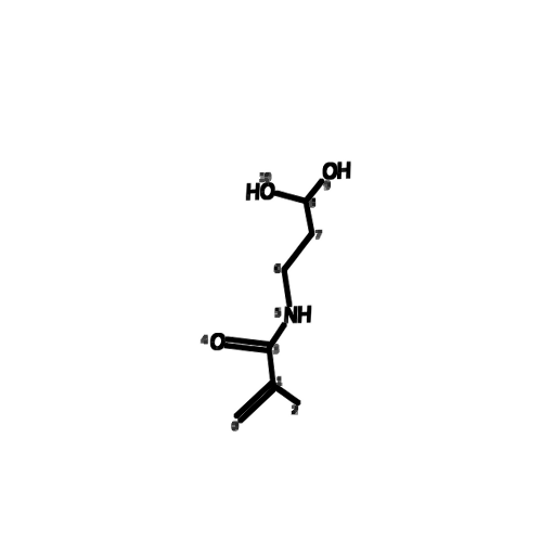 C=C(C)C(=O)NCCC(O)O